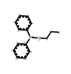 CC[CH2][Pd][P](c1ccccc1)c1ccccc1